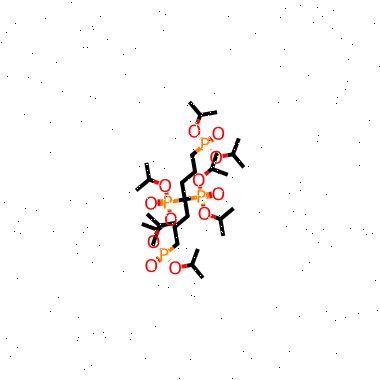 CC(C)OP(=O)(CCCC(CCCP(=O)(OC(C)C)OC(C)C)(P(=O)(OC(C)C)OC(C)C)P(=O)(OC(C)C)OC(C)C)OC(C)C